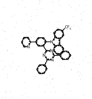 FC(F)(F)c1ccc2c(c1)c1ccccc1n2-c1ccc(-c2ccccn2)cc1-c1nc(-c2ccccc2)nc(-c2ccccc2)n1